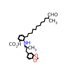 C/C(=C\Nc1c(CCCCCCCCCCC(C)C=O)cccc1C(=O)O)Cc1ccc2c(c1)OCO2